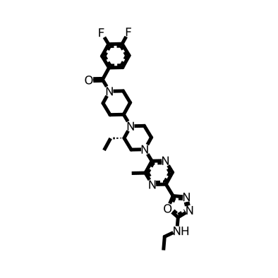 CCNc1nnc(-c2cnc(N3CCN(C4CCN(C(=O)c5ccc(F)c(F)c5)CC4)[C@@H](CC)C3)c(C)n2)o1